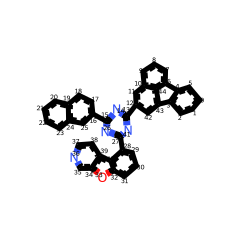 c1ccc2c(c1)-c1cccc3cc(-c4nc(-c5ccc6ccccc6c5)nc(-c5cccc6oc7cnccc7c56)n4)cc-2c13